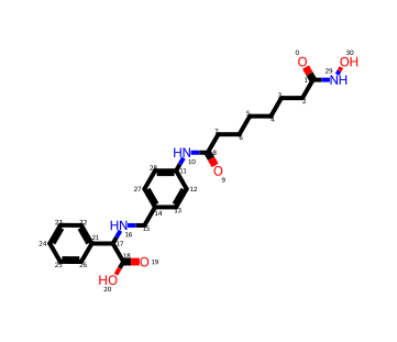 O=C(CCCCCCC(=O)Nc1ccc(CNC(C(=O)O)c2ccccc2)cc1)NO